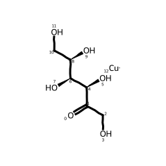 O=C(CO)[C@H](O)[C@@H](O)[C@H](O)CO.[Cu]